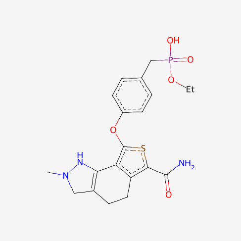 CCOP(=O)(O)Cc1ccc(Oc2sc(C(N)=O)c3c2C2=C(CC3)CN(C)N2)cc1